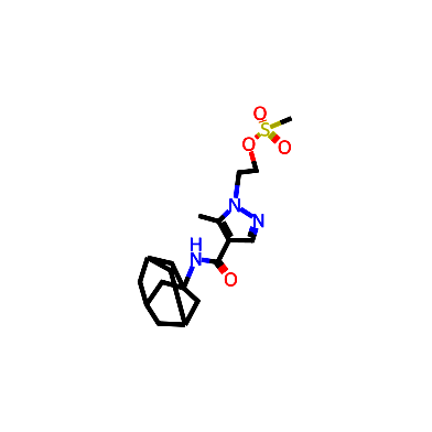 Cc1c(C(=O)NC23CC4CC(CC(C4)C2)C3)cnn1CCOS(C)(=O)=O